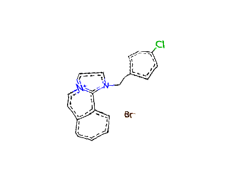 Clc1ccc(Cn2cc[n+]3ccc4ccccc4c23)cc1.[Br-]